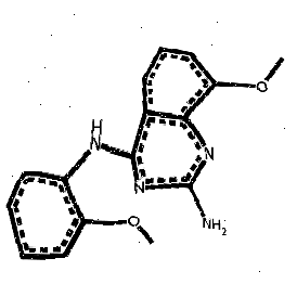 COc1ccccc1Nc1nc(N)nc2c(OC)cccc12